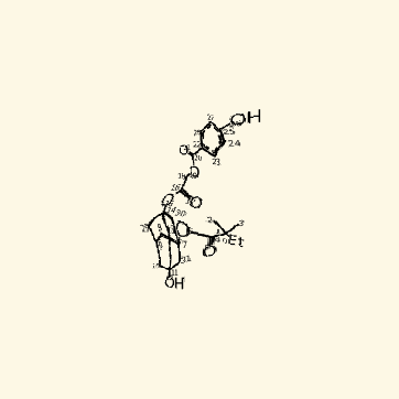 CCC(C)(C)C(=O)OC12CC3CC(O)(CC(OC(=O)COC(=O)c4ccc(O)cc4)(C3)C1)C2